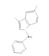 Cc1cn(C(=O)c2ccccc2)c2ccc(Cl)cc12